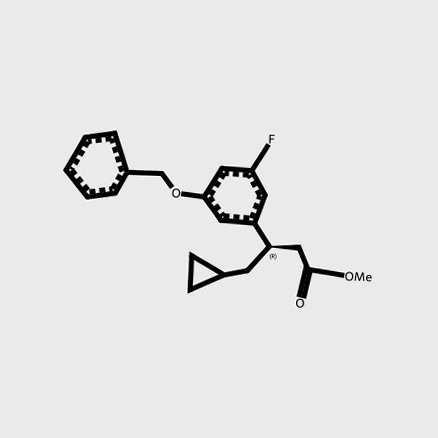 COC(=O)C[C@@H](CC1CC1)c1cc(F)cc(OCc2ccccc2)c1